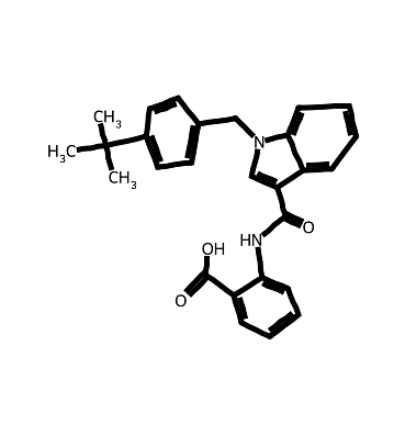 CC(C)(C)c1ccc(Cn2cc(C(=O)Nc3ccccc3C(=O)O)c3ccccc32)cc1